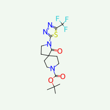 CC(C)(C)OC(=O)N1CCC2(CC1)CCN(c1nnc(C(F)(F)F)s1)C2=O